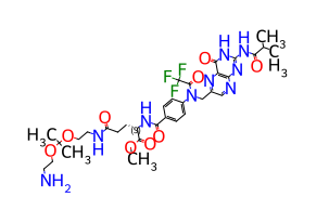 COC(=O)[C@H](CCC(=O)NCCOC(C)(C)OCCN)NC(=O)c1ccc(N(Cc2cnc3nc(NC(=O)C(C)C)[nH]c(=O)c3n2)C(=O)C(F)(F)F)cc1